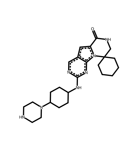 O=C1NCC2(CCCCC2)n2c1cc1cnc(NC3CCC(N4CCNCC4)CC3)nc12